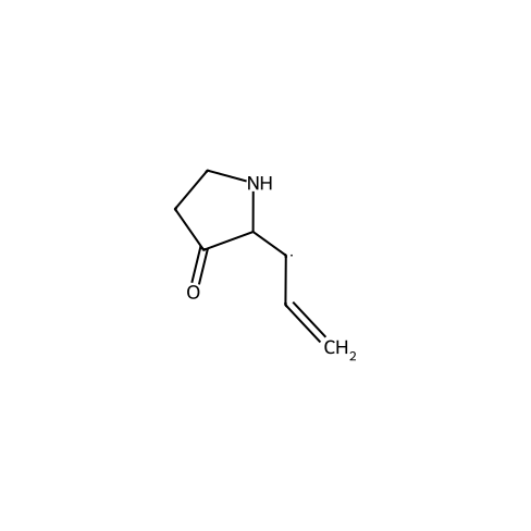 C=C[CH]C1NCCC1=O